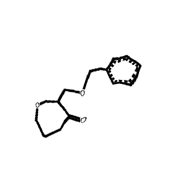 O=C1CCCOC1COCc1ccccc1